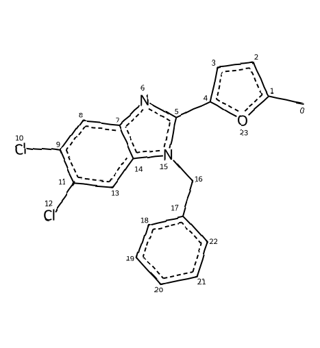 Cc1ccc(-c2nc3cc(Cl)c(Cl)cc3n2Cc2ccccc2)o1